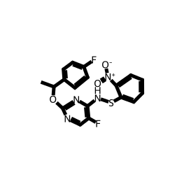 CC(Oc1ncc(F)c(NSc2ccccc2[N+](=O)[O-])n1)c1ccc(F)cc1